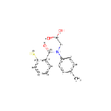 Cc1ccc(N(CC(=O)O)C(=O)c2ccccc2S)cc1